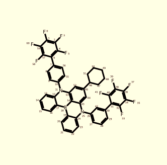 Fc1c(F)c(F)c(-c2ccc(N3c4ccccc4B4c5ccccc5N(c5cccc(-c6c(F)c(F)c(F)c(F)c6F)c5)c5cc(C6CCCCC6)cc3c54)cc2)c(F)c1F